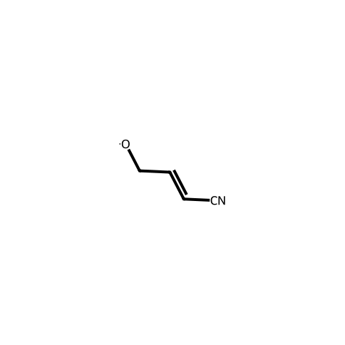 N#CC=CC[O]